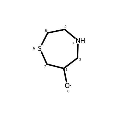 [O]C1CNCCSC1